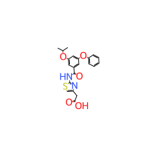 CC(C)Oc1cc(Oc2ccccc2)cc(C(=O)Nc2nc(CC(=O)O)cs2)c1